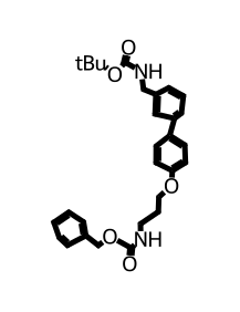 CC(C)(C)OC(=O)NCc1cccc(-c2ccc(OCCCNC(=O)OCc3ccccc3)cc2)c1